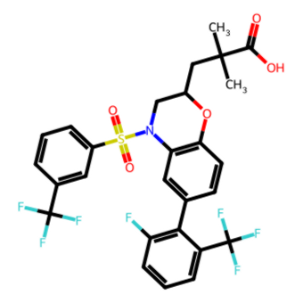 CC(C)(CC1CN(S(=O)(=O)c2cccc(C(F)(F)F)c2)c2cc(-c3c(F)cccc3C(F)(F)F)ccc2O1)C(=O)O